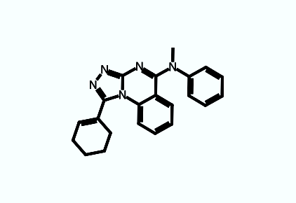 CN(c1ccccc1)c1nc2nnc(C3=CCCCC3)n2c2ccccc12